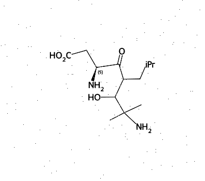 CC(C)CC(C(=O)[C@@H](N)CC(=O)O)C(O)C(C)(C)N